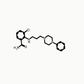 NC(=O)c1cccc(Cl)c1NCCCN1CCN(c2ccccc2)CC1